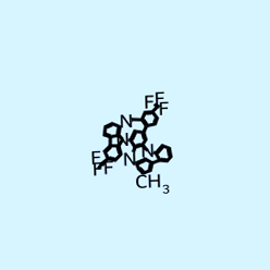 Cc1ccc2c(c1)c1ccccc1n2-c1cc(-c2ccc(C(F)(F)F)cc2C#N)cc(-n2c3ccccc3c3cc(C(F)(F)F)ccc32)c1C#N